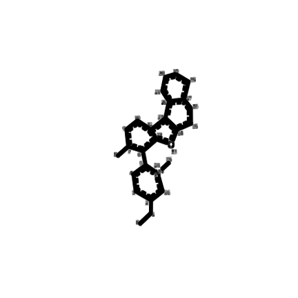 CCc1ccc(-c2c(C)ccc3c2oc2ccc4ccccc4c23)[n+](C)c1